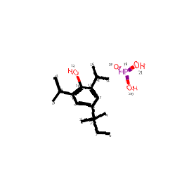 CCC(C)(C)c1cc(C(C)C)c(O)c(C(C)C)c1.O=[PH](O)O